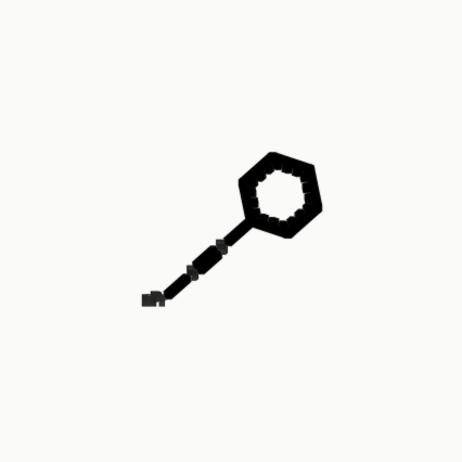 CCCB=Bc1ccccc1